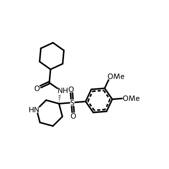 COc1ccc(S(=O)(=O)[C@@]2(NC(=O)C3CCCCC3)CCCNC2)cc1OC